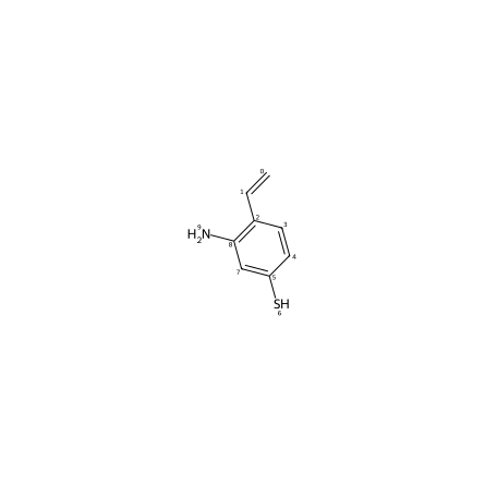 C=Cc1ccc(S)cc1N